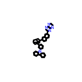 c1cc(-n2c3ccccc3c3ccccc32)cc(C23CC4CC(C2)CC(c2ccc5ccc(-c6cnc7nccnc7n6)cc5c2)(C4)C3)c1